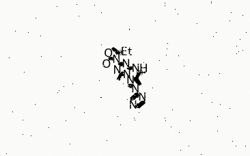 CC[C@H]1COC(=O)N1c1nc(C)nc(N[C@@H](C)c2cn(-c3cnccn3)cn2)n1